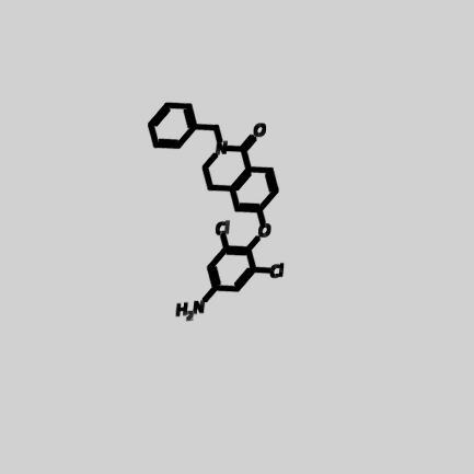 Nc1cc(Cl)c(Oc2ccc3c(c2)CCN(Cc2ccccc2)C3=O)c(Cl)c1